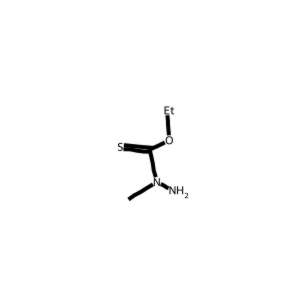 CCOC(=S)N(C)N